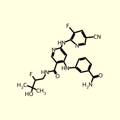 CC(C)(O)C(F)CNC(=O)c1cnc(Nc2ncc(C#N)cc2F)cc1Nc1cccc(C(N)=O)c1